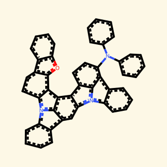 c1ccc(N(c2ccccc2)c2ccc3c4c5c6c7oc8ccccc8c7ccc6n6c7ccccc7c(cc4n4c7ccccc7c2c34)c56)cc1